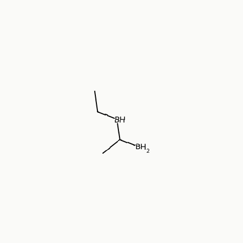 BC(C)BCC